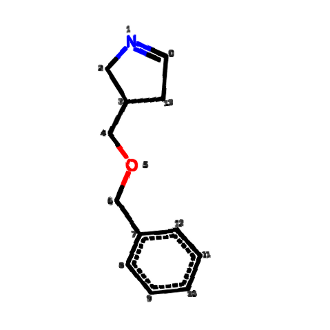 C1=NCC(COCc2ccccc2)C1